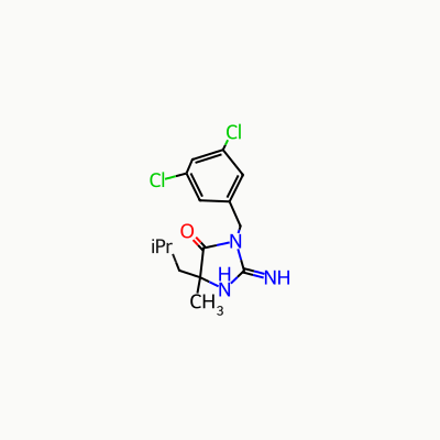 CC(C)CC1(C)NC(=N)N(Cc2cc(Cl)cc(Cl)c2)C1=O